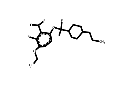 CCCC1CCC(C(F)(F)Oc2ccc(OCC)c(F)c2C(F)F)CC1